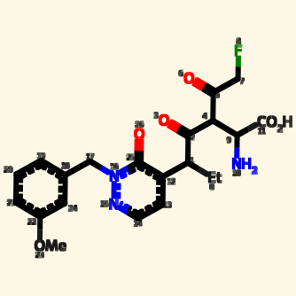 CCC(C(=O)C(C(=O)CF)C(N)C(=O)O)c1ccnn(Cc2cccc(OC)c2)c1=O